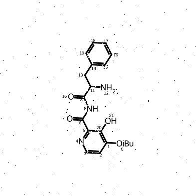 CC(C)COc1ccnc(C(=O)NC(=O)[C@H](N)Cc2ccccc2)c1O